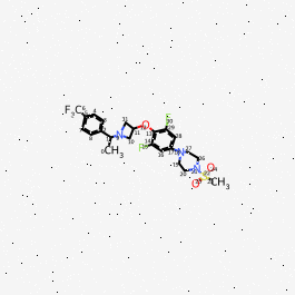 CC(c1ccc(C(F)(F)F)cc1)N1CC(Oc2c(F)cc(N3CCN(S(C)(=O)=O)CC3)cc2F)C1